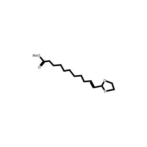 COC(=O)CCCCCCCC/C=C/C1OCCO1